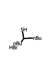 Br.CCCCC(S)CCCC